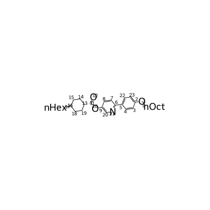 CCCCCCCCOc1ccc(-c2ccc(OC(=O)[C@H]3CC[C@H](CCCCCC)CC3)cn2)cc1